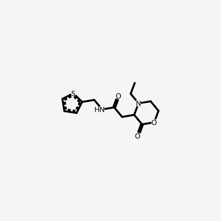 CCN1CCOC(=O)C1CC(=O)NCc1cccs1